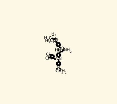 [CH2][CH]N([CH][CH2])c1ccc(-c2nc3cc(C(CC(N)=O)NCc4ccc(-c5nc(C(C)(C)C)cs5)cc4)ccc3n2Cc2ccc(Cl)c(Cl)c2)cc1